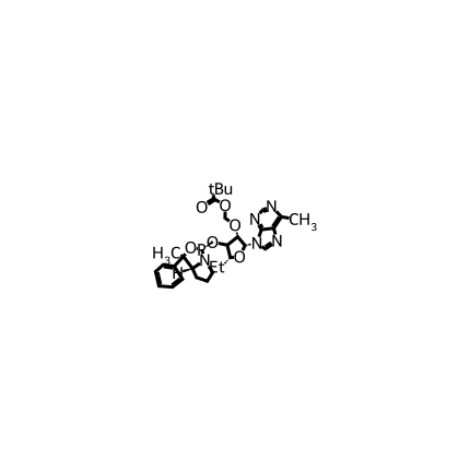 CC[C@H]1O[C@@H](n2cnc3c(C)ncnc32)[C@@H](OCOC(=O)C(C)(C)C)C1O[P@]1O[C@@](C)(c2ccccc2)[C@H]2CCCN21